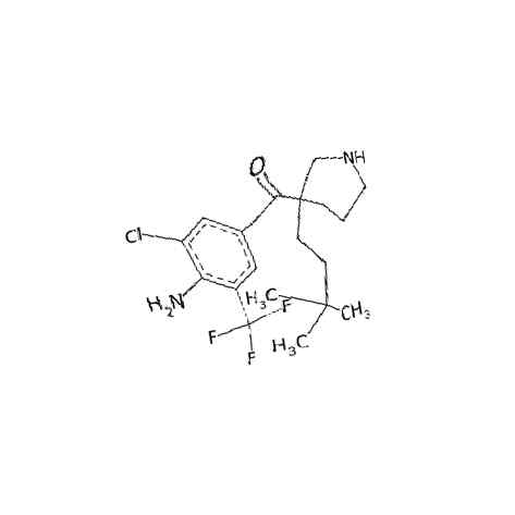 CC(C)(C)CCC1(C(=O)c2cc(Cl)c(N)c(C(F)(F)F)c2)CCNC1